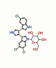 OCC1OC(n2cc(-c3c[nH]cc3-c3c[nH]c4ccc(Cl)cc34)c3cc(Cl)c(Cl)cc32)C(O)C(O)C1O